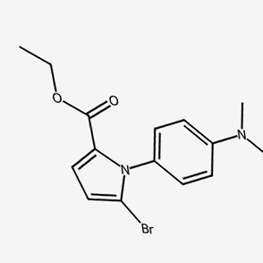 CCOC(=O)c1ccc(Br)n1-c1ccc(N(C)C)cc1